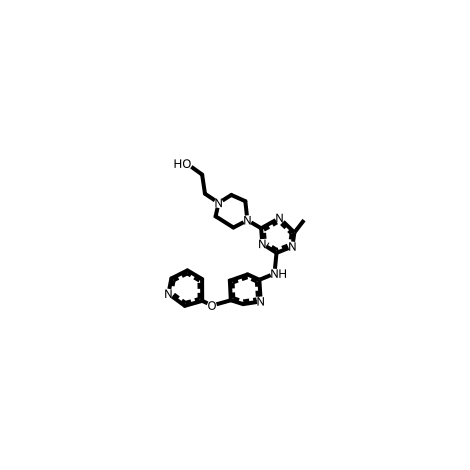 Cc1nc(Nc2ccc(Oc3cccnc3)cn2)nc(N2CCN(CCO)CC2)n1